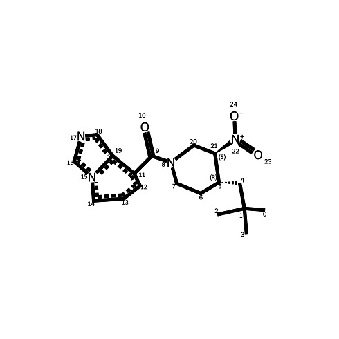 CC(C)(C)C[C@@H]1CCN(C(=O)c2cccn3cncc23)C[C@H]1[N+](=O)[O-]